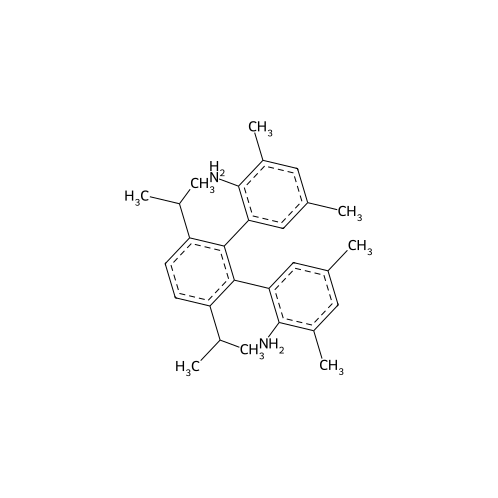 Cc1cc(C)c(N)c(-c2c(C(C)C)ccc(C(C)C)c2-c2cc(C)cc(C)c2N)c1